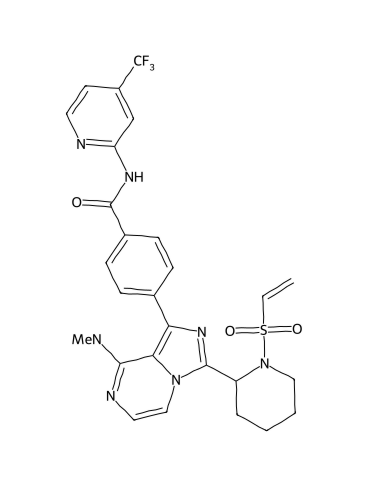 C=CS(=O)(=O)N1CCCCC1c1nc(-c2ccc(C(=O)Nc3cc(C(F)(F)F)ccn3)cc2)c2c(NC)nccn12